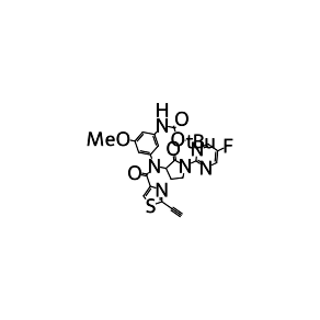 C#Cc1nc(C(=O)N(c2cc(NC(=O)OC(C)(C)C)cc(OC)c2)C2CCN(c3ncc(F)cn3)C2=O)cs1